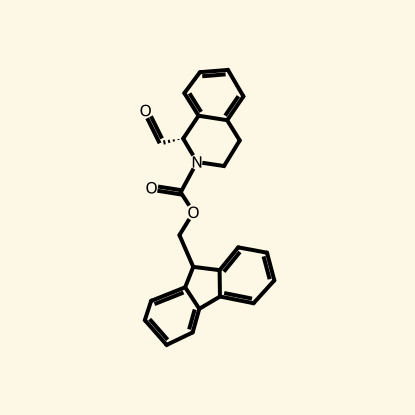 O=C[C@@H]1c2ccccc2CCN1C(=O)OCC1c2ccccc2-c2ccccc21